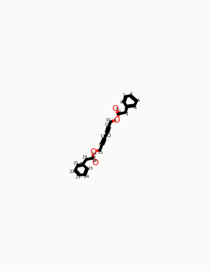 O=C(Cc1ccccc1)OCC#CC#CCOC(=O)Cc1ccccc1